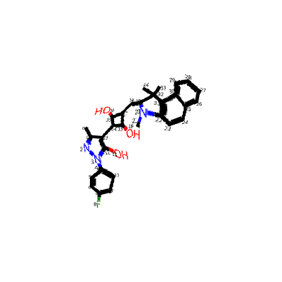 Cc1nn(-c2ccc(F)cc2)c(O)c1C1C(O)C(C=C2N(C)c3ccc4ccccc4c3C2(C)C)C1O